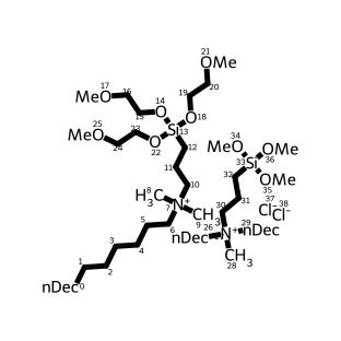 CCCCCCCCCCCCCCCC[N+](C)(C)CCC[Si](OCCOC)(OCCOC)OCCOC.CCCCCCCCCC[N+](C)(CCCCCCCCCC)CCC[Si](OC)(OC)OC.[Cl-].[Cl-]